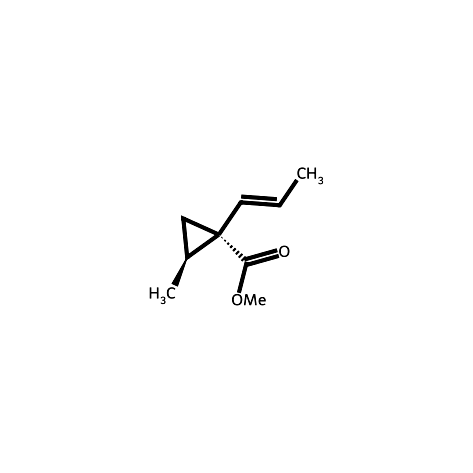 C/C=C/[C@]1(C(=O)OC)C[C@@H]1C